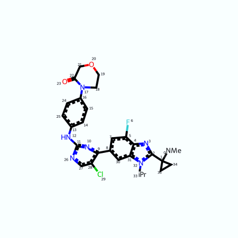 CNC1(c2nc3c(F)cc(-c4nc(Nc5ccc(N6CCOCC6=O)cc5)ncc4Cl)cc3n2C(C)C)CC1